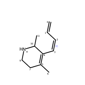 C=C/C=C\C1=C(C)CCNC1C